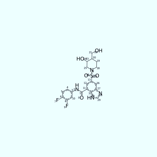 O=C(Nc1ccc(F)c(F)c1)c1cc(S(=O)(=O)N2CCC(CO)C(O)C2)cc2nc[nH]c12